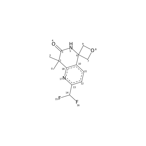 CC1(C)C(=O)NC2(COC2)c2ccc(C(F)F)nc21